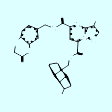 O=C1COc2ccc(CNC(=O)c3cc(C(=O)NCC45C6C7C4C4C5C6C74O)n4ncc(F)c4n3)cc2N1